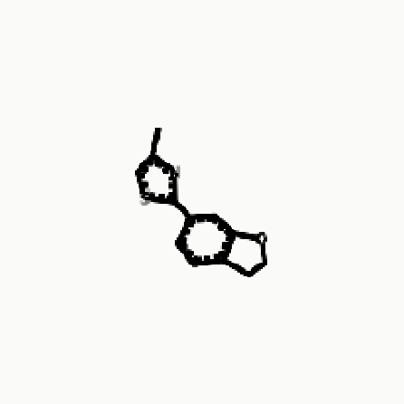 Cc1csc(-c2ccc3c(c2)OCC3)n1